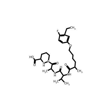 CCc1cc(OCCCCC(C)C(=O)NC(C(=O)NC(C)C(=O)N2CCCC(C(=O)O)N2)C(C)C)ccc1F